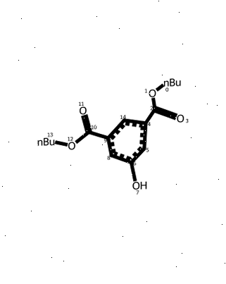 CCCCOC(=O)c1cc(O)cc(C(=O)OCCCC)c1